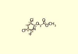 COC(=O)COc1nc(F)c(Cl)cc1Cl